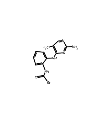 CCC(=O)Nc1ccccc1Nc1nc(N)ncc1C(F)(F)F